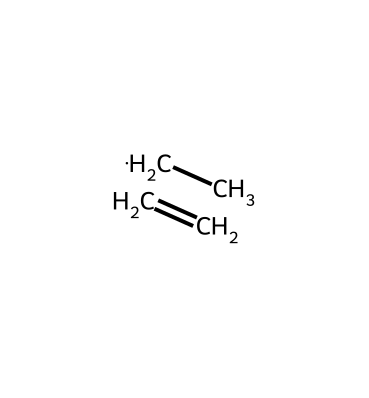 C=C.[CH2]C